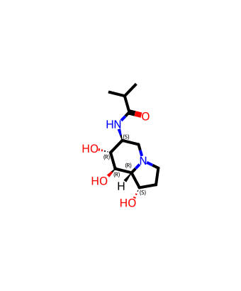 CC(C)C(=O)N[C@H]1CN2CC[C@H](O)[C@@H]2[C@@H](O)[C@@H]1O